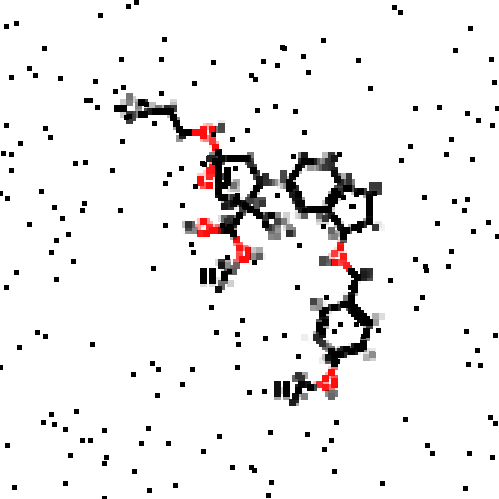 C=CCOC(=O)CC(c1ccc2c(c1)C(OCc1ccc(OC)cc1)CC2)C(C)(C)C(=O)OC